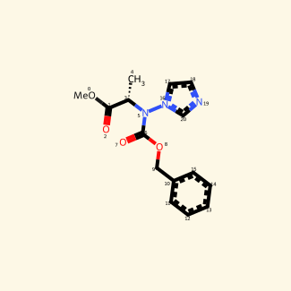 COC(=O)[C@H](C)N(C(=O)OCc1ccccc1)n1ccnc1